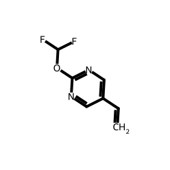 C=Cc1cnc(OC(F)F)nc1